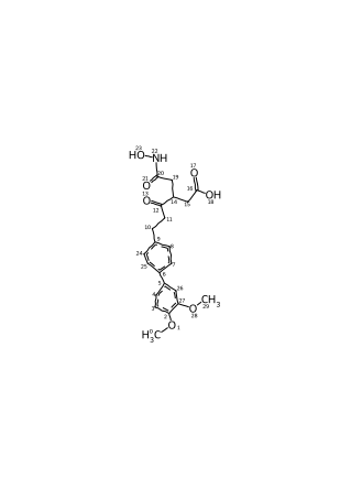 COc1ccc(-c2ccc(CCC(=O)C(CC(=O)O)CC(=O)NO)cc2)cc1OC